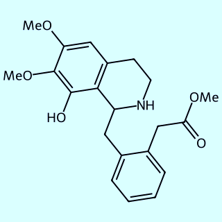 COC(=O)Cc1ccccc1CC1NCCc2cc(OC)c(OC)c(O)c21